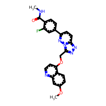 CNC(=O)c1ccc(-c2ccc3nnc(COc4ccnc5cc(OC)ccc45)n3n2)cc1F